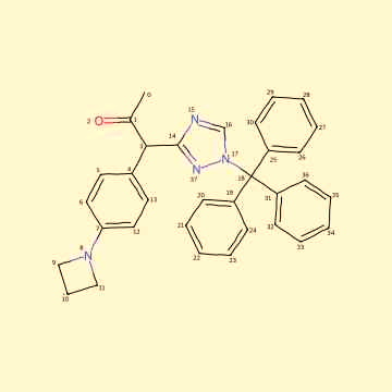 CC(=O)C(c1ccc(N2C[CH]C2)cc1)c1ncn(C(c2ccccc2)(c2ccccc2)c2ccccc2)n1